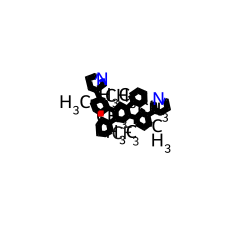 Cc1ccccc1-c1cc(-c2c(C)cc(C)c(-c3cccnc3)c2C)c(-c2ccccc2C(F)(F)F)cc1-c1c(C)cc(C)c(-c2cccnc2)c1C